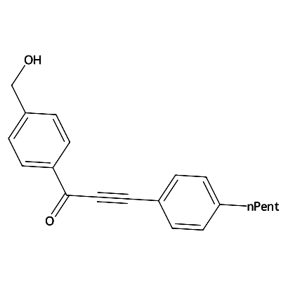 CCCCCc1ccc(C#CC(=O)c2ccc(CO)cc2)cc1